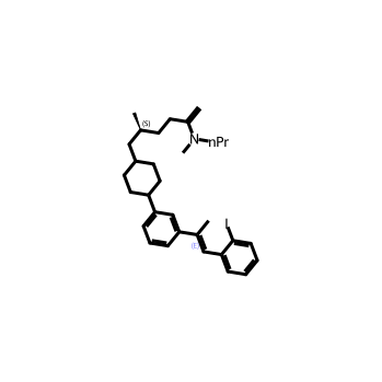 C=C(CC[C@H](C)CC1CCC(c2cccc(/C(C)=C/c3ccccc3I)c2)CC1)N(C)CCC